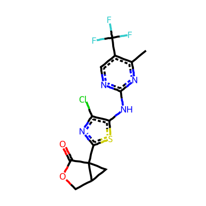 Cc1nc(Nc2sc(C34CC3COC4=O)nc2Cl)ncc1C(F)(F)F